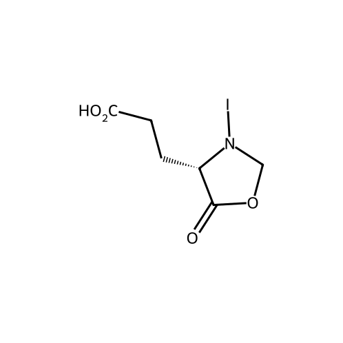 O=C(O)CC[C@H]1C(=O)OCN1I